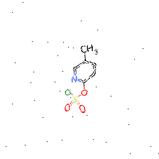 Cc1ccc(OS(=O)(=O)Cl)nc1